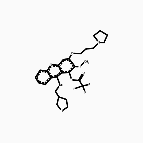 COc1c(OCCCN2CCCC2)cc2nc3ccccc3c(NCC3CCOC3)c2c1OC(=O)C(F)(F)F